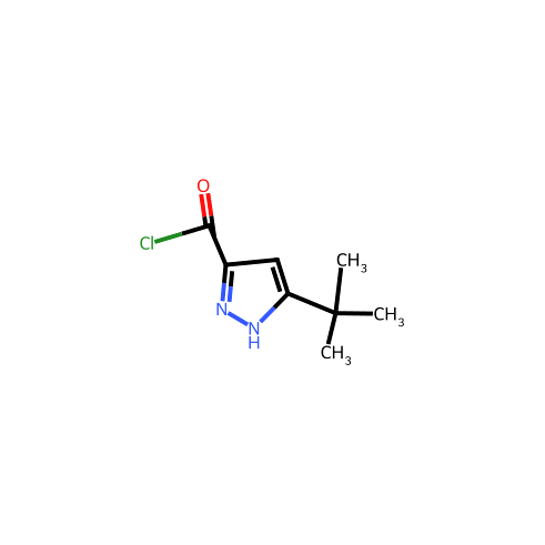 CC(C)(C)c1cc(C(=O)Cl)n[nH]1